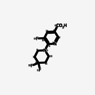 O=C(O)c1cnc(N2CCC(F)(F)CC2)c(F)c1